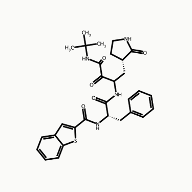 CC(C)(C)NC(=O)C(=O)C(C[C@@H]1CCNC1=O)NC(=O)[C@H](Cc1ccccc1)NC(=O)c1cc2ccccc2s1